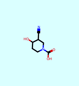 N#CC1CN(C(=O)O)CCC1O